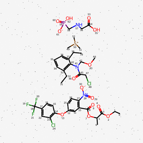 CCOC(=O)C(C)OC(=O)c1cc(Oc2ccc(C(F)(F)F)cc2Cl)ccc1[N+](=O)[O-].CCc1cccc(CC)c1N(COC)C(=O)CCl.C[S+](C)C.O=C(O)CNCP(=O)([O-])O